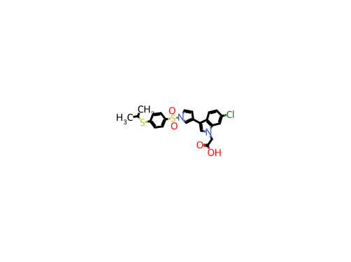 CC(C)Sc1ccc(S(=O)(=O)n2ccc(-c3cn(CC(=O)O)c4cc(Cl)ccc34)c2)cc1